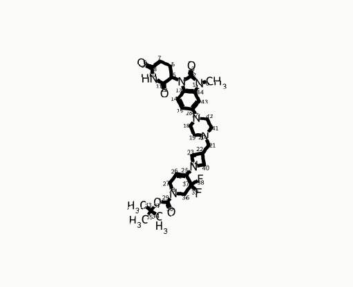 Cn1c(=O)n(C2CCC(=O)NC2=O)c2ccc(N3CCN(CC4CN(C5=CCN(C(=O)OC(C)(C)C)CC5(F)F)C4)CC3)cc21